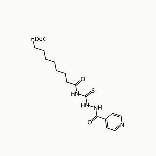 CCCCCCCCCCCCCCCCCC(=O)NC(=S)NNC(=O)c1ccncc1